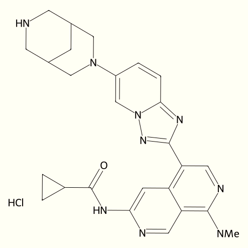 CNc1ncc(-c2nc3ccc(N4CC5CNCC(C5)C4)cn3n2)c2cc(NC(=O)C3CC3)ncc12.Cl